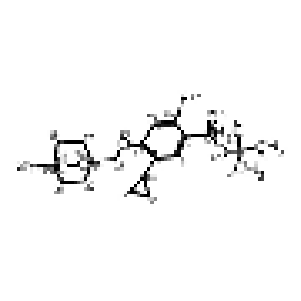 CC(C)(C)OC(=O)c1cc(C2CC2)c(OCC23CCC(F)(CC2)CC3)cc1F